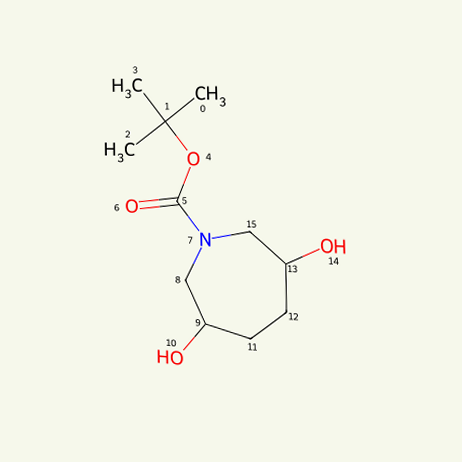 CC(C)(C)OC(=O)N1CC(O)CCC(O)C1